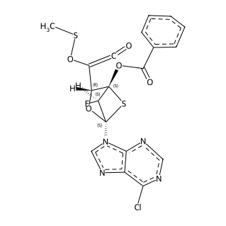 CSOC(=C=O)[C@H]1O[C@]2(n3cnc4c(Cl)ncnc43)S[C@]1(OC(=O)c1ccccc1)[C@@H]2F